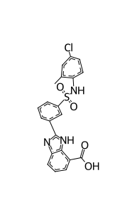 Cc1cc(Cl)ccc1NS(=O)(=O)c1cccc(-c2nc3cccc(C(=O)O)c3[nH]2)c1